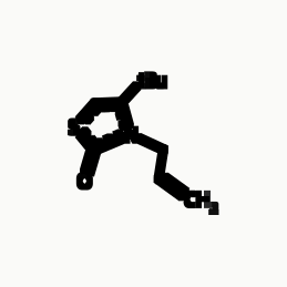 C=CCn1c(C(C)(C)C)csc1=O